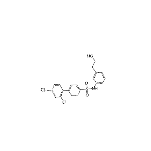 O=S(=O)(Nc1cccc(CCO)c1)C1=CC=C(c2ccc(Cl)cc2Cl)CC1